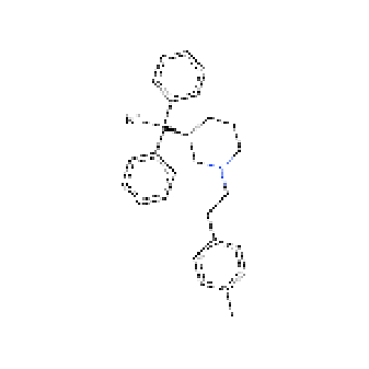 Cc1ccc(CCN2CCC[C@H](C(C#N)(c3ccccc3)c3ccccc3)C2)cc1